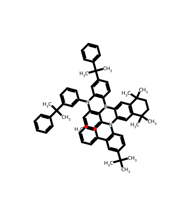 Cc1cc2c3c(c1)N(c1ccc(C(C)(C)C)cc1-c1ccccc1)c1cc4c(cc1B3c1ccc(C(C)(C)c3ccccc3)cc1N2c1cccc(C(C)(C)c2ccccc2)c1)C(C)(C)CCC4(C)C